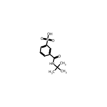 CC(C)(C)NC(=O)c1cccc(S(=O)(=O)O)c1